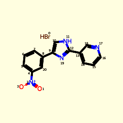 Br.O=[N+]([O-])c1cccc(-c2c[nH]c(-c3cccnc3)n2)c1